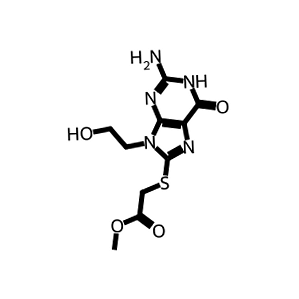 COC(=O)CSc1nc2c(=O)[nH]c(N)nc2n1CCO